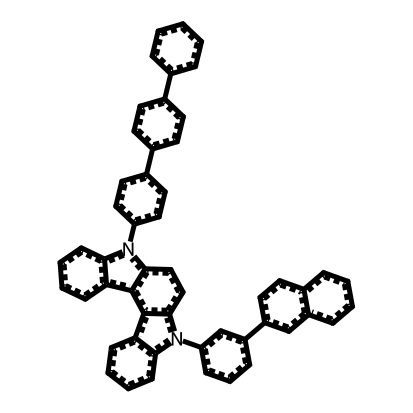 c1ccc(-c2ccc(-c3ccc(-n4c5ccccc5c5c6c7ccccc7n(-c7cccc(-c8ccc9ccccc9c8)c7)c6ccc54)cc3)cc2)cc1